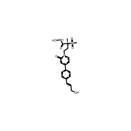 C[C@@](CCn1ccc(-c2ccc(/C=C/CO)cc2)cc1=O)(C(=O)NO)S(C)(=O)=O